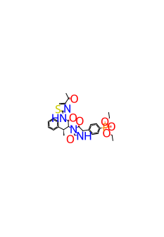 CCOP(=O)(OCC)c1ccc(C2NC(=O)N([C@H](C(=O)Nc3nc(C(C)=O)cs3)[C@@H](C)c3ccccc3)C2=O)cc1